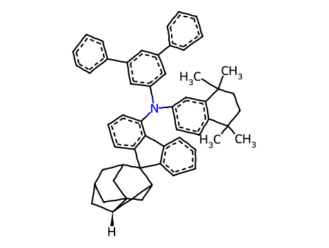 CC1(C)CCC(C)(C)c2cc(N(c3cc(-c4ccccc4)cc(-c4ccccc4)c3)c3cccc4c3-c3ccccc3C43C4CC5C[C@H]6C3CC6(C5)C4)ccc21